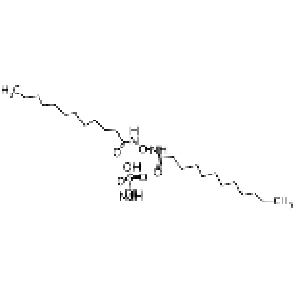 CCCCCCCCCCCC(=O)NONC(=O)CCCCCCCCCCC.O=S(=O)(O)O.[NaH]